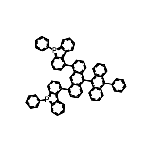 c1ccc(-c2c3ccccc3c(-c3c4cccc(-c5cccc6c5c5ccccc5p6-c5ccccc5)c4cc4c(-c5cccc6c5c5ccccc5p6-c5ccccc5)cccc34)c3ccccc23)cc1